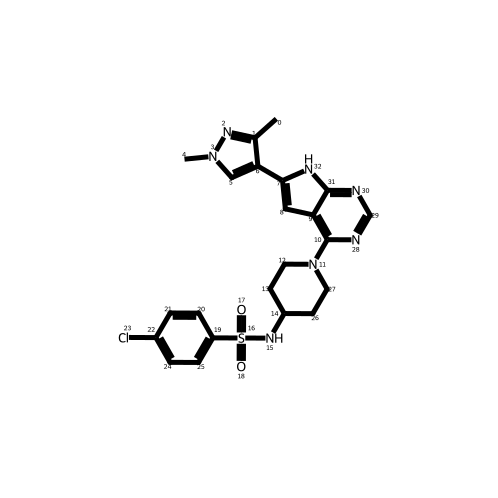 Cc1nn(C)cc1-c1cc2c(N3CCC(NS(=O)(=O)c4ccc(Cl)cc4)CC3)ncnc2[nH]1